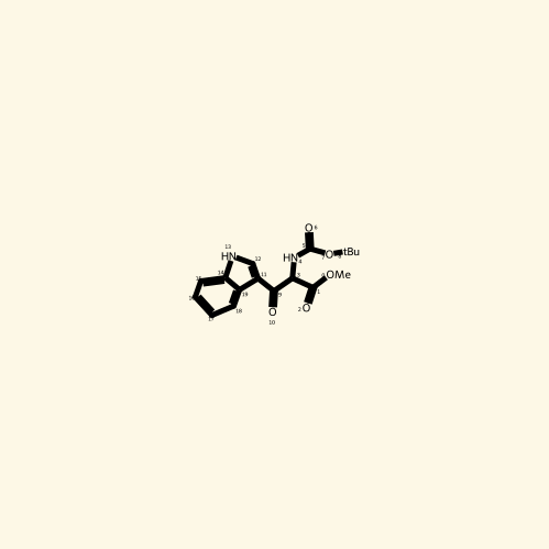 COC(=O)C(NC(=O)OC(C)(C)C)C(=O)c1c[nH]c2ccccc12